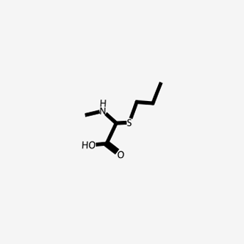 CCCSC(NC)C(=O)O